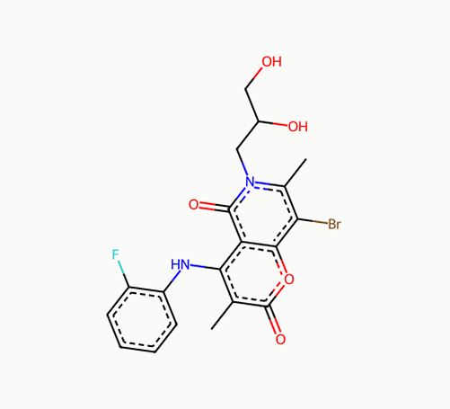 Cc1c(Nc2ccccc2F)c2c(=O)n(CC(O)CO)c(C)c(Br)c2oc1=O